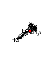 CC(C)(C)[Si](OCOCCOCCOCCO)(c1ccccc1)c1ccccc1